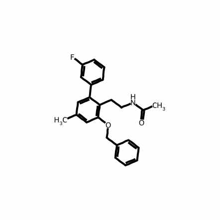 CC(=O)NCCc1c(OCc2ccccc2)cc(C)cc1-c1cccc(F)c1